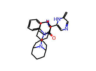 C=C1C=NC=C(c2nc3ccccc3n(C3CC4CCCC(C3)N4C3CC4CCCC(C4)C3)c2=O)N1